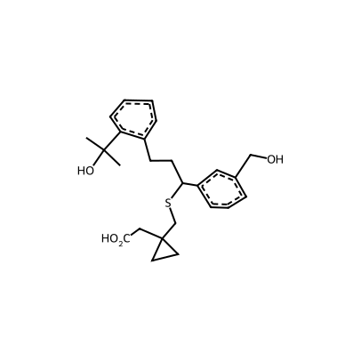 CC(C)(O)c1ccccc1CCC(SCC1(CC(=O)O)CC1)c1cccc(CO)c1